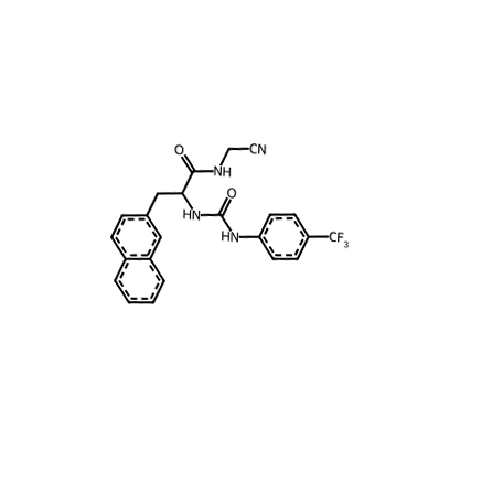 N#CCNC(=O)C(Cc1ccc2ccccc2c1)NC(=O)Nc1ccc(C(F)(F)F)cc1